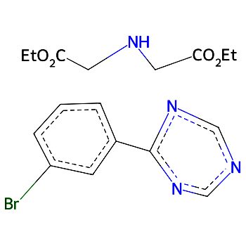 Brc1cccc(-c2ncncn2)c1.CCOC(=O)CNCC(=O)OCC